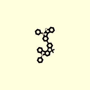 CC1(C)c2ccc(-c3ccc4c(c3)c3c5ccccc5oc3n4-c3ccccc3)cc2-c2c1ccc1c2c2ccccc2n1-c1ccccc1